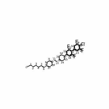 CCCCCCC[C@H]1CC[C@H](CC[C@H]2CC[C@H](c3cc(F)c(-c4cc(F)c(Cl)c(F)c4)c(F)c3)CC2)CC1